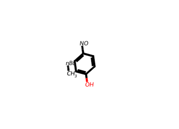 CCCCC.O=Nc1ccc(O)cc1